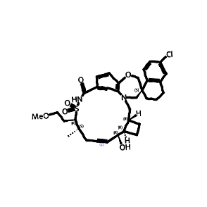 COCC[C@@H]1[C@@H](C)C/C=C\[C@H](O)[C@@H]2CC[C@H]2CN2C[C@@]3(CCCc4cc(Cl)ccc43)COc3ccc(cc32)C(=O)NS1(=O)=O